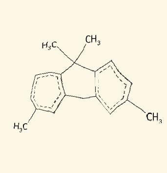 Cc1ccc2c(c1)-c1cc(C)ccc1C2(C)C